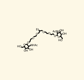 CCC(COCCOCCO[C@@H]1OC(CO)[C@H](O)C(O)C1NC(C)=O)COCCOCCO[C@@H]1OC(CO)[C@H](O)C(O)C1NC(C)=O